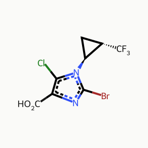 O=C(O)c1nc(Br)n([C@H]2C[C@@H]2C(F)(F)F)c1Cl